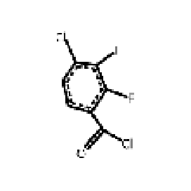 O=C(Cl)c1ccc(Cl)c(F)c1F